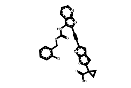 O=C(Nc1c(C#Cc2cc3cc(C4(C(=O)O)CC4)oc3o2)oc2ncccc12)OCc1ccccc1Cl